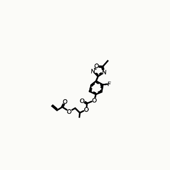 C=CC(=O)OCC(C)OC(=O)Oc1ccc(-c2noc(C)n2)c(F)c1